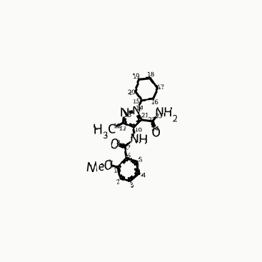 COc1ccccc1C(=O)Nc1c(C)nn(C2CCCCC2)c1C(N)=O